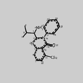 CC(C)C(N)c1nc2cccc(Cl)c2c(=O)n1-c1ccccc1